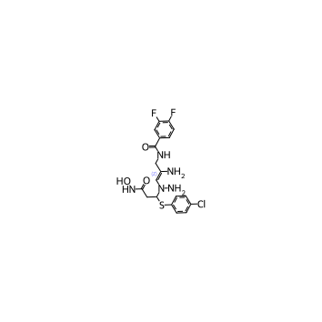 N/C(=C\N(N)C(CC(=O)NO)Sc1ccc(Cl)cc1)CNC(=O)c1ccc(F)c(F)c1